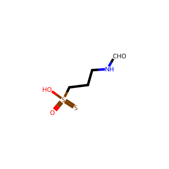 O=CNCCCS(=O)(O)=S